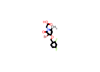 Cc1cc(OCc2ccc(F)cc2F)c(Br)c(=O)n1CC(=O)O